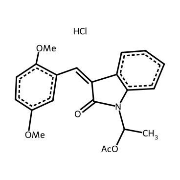 COc1ccc(OC)c(/C=C2\C(=O)N(C(C)OC(C)=O)c3ccccc32)c1.Cl